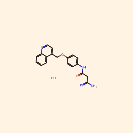 Cl.N=C(N)CC(=O)Nc1ccc(OCc2ccnc3ccccc23)cc1